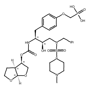 CC(C)CN(C[C@@H](O)[C@H](Cc1ccc(OCP(=O)(O)O)cc1)NC(=O)O[C@H]1CO[C@H]2OCC[C@H]21)S(=O)(=O)N1CCN(C)CC1